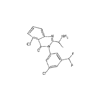 CC(N)c1nc2cccc(Cl)c2c(=O)n1-c1cc(Cl)cc(C(F)F)c1